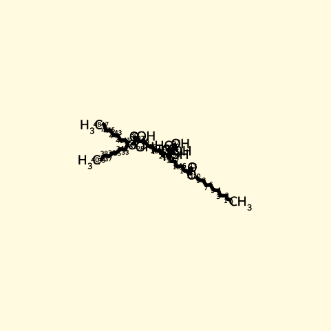 CCCCCCCCCCCOC(=O)CCCCCN(CCCCCCC(O)(O)C(=O)OC(CCCCCCCC)CCCCCCCC)C(O)(O)C(O)(O)O